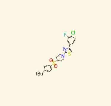 CC(C)(C)c1ccc(S(=O)(=O)C2CCN(c3nc(-c4ccc(Cl)c(F)c4)cs3)CC2)cc1